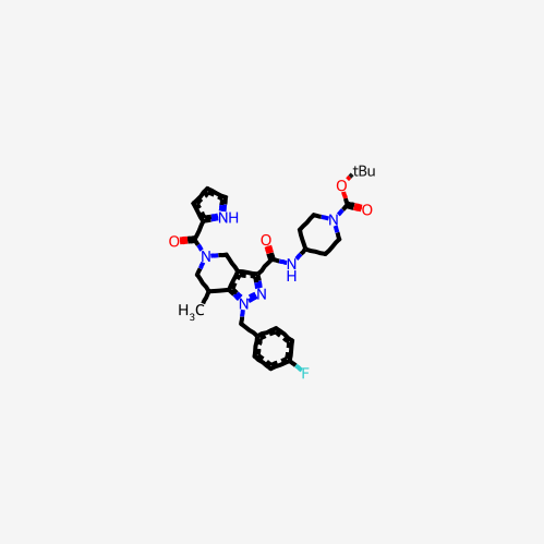 CC1CN(C(=O)c2ccc[nH]2)Cc2c(C(=O)NC3CCN(C(=O)OC(C)(C)C)CC3)nn(Cc3ccc(F)cc3)c21